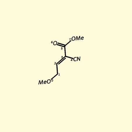 COC/C=C(\C#N)C(=O)OC